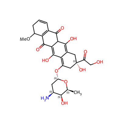 COC1CC=CC2=C1C(=O)C1=C(O)C3=C(O[C@H]4C[C@H](N)[C@H](O)[C@H](C)O4)C[C@](O)(C(=O)CO)CC3=C(O)C1C2=O